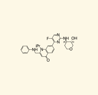 CC(C)n1c(CNc2ccccc2)cc(=O)c2ccc(-c3nc(N[C@@H]4CCOC[C@H]4O)ncc3F)cc21